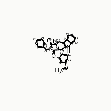 COc1ccc([C@H]2c3[nH]c4ccccc4c3C[C@H]3C(=O)N(Cc4cccnc4)C(=O)N23)cc1